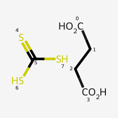 O=C(O)CCC(=O)O.S=C(S)S